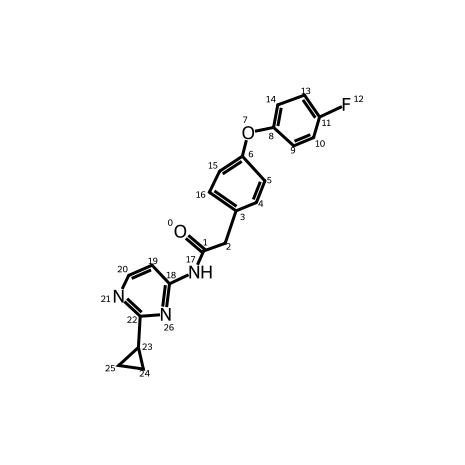 O=C(Cc1ccc(Oc2ccc(F)cc2)cc1)Nc1ccnc(C2CC2)n1